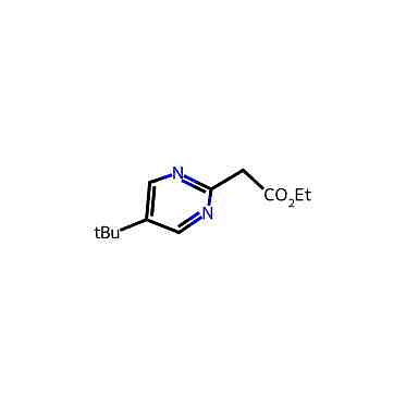 CCOC(=O)Cc1ncc(C(C)(C)C)cn1